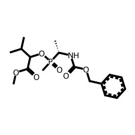 COC(=O)C(OP(C)(=O)[C@H](C)NC(=O)OCc1ccccc1)C(C)C